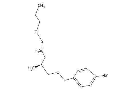 CCCOS[SiH2]C[C@H](C)COCc1ccc(Br)cc1